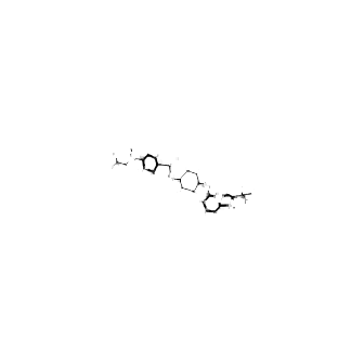 CN(CC(F)F)c1ccc(C(=O)NC2CCC(Nc3cccc4nc(C(C)(F)F)cn34)CC2)cc1